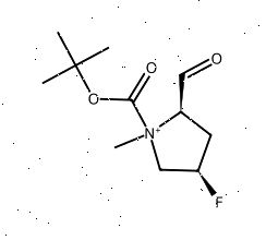 CC(C)(C)OC(=O)[N+]1(C)C[C@H](F)C[C@@H]1C=O